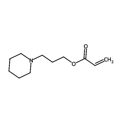 C=CC(=O)OCCCN1CCCCC1